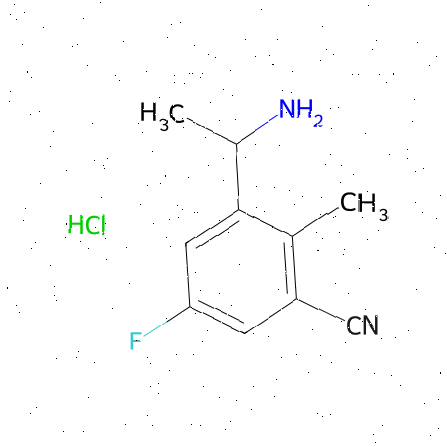 Cc1c(C#N)cc(F)cc1C(C)N.Cl